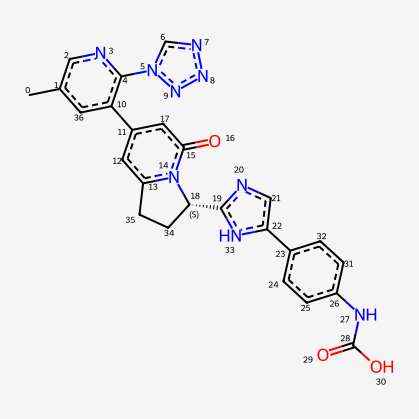 Cc1cnc(-n2cnnn2)c(-c2cc3n(c(=O)c2)[C@H](c2ncc(-c4ccc(NC(=O)O)cc4)[nH]2)CC3)c1